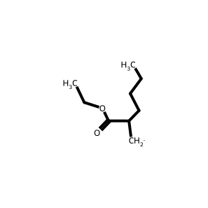 [CH2]C(CCCC)C(=O)OCC